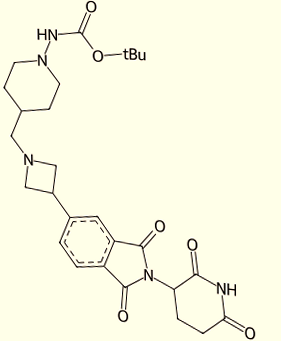 CC(C)(C)OC(=O)NN1CCC(CN2CC(c3ccc4c(c3)C(=O)N(C3CCC(=O)NC3=O)C4=O)C2)CC1